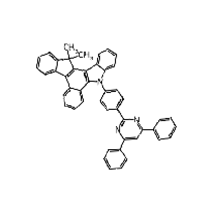 CC1(C)c2ccccc2-c2c1c1c3ccccc3n(-c3ccc(-c4nc(-c5ccccc5)cc(-c5ccccc5)n4)cc3)c1c1ccccc21